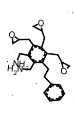 NCc1c(CN)c(CC2CO2)c(CC2CO2)c(CC2CO2)c1CCc1ccccc1